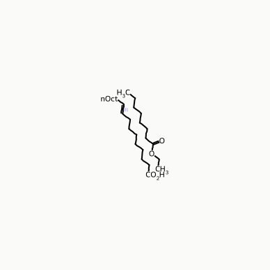 CCCCCCCC(=O)OCC.CCCCCCCC/C=C/CCCCCCCC(=O)O